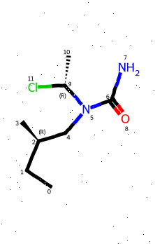 CC[C@@H](C)CN(C(N)=O)[C@@H](C)Cl